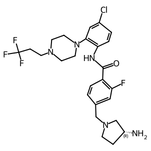 N[C@@H]1CCN(Cc2ccc(C(=O)Nc3ccc(Cl)cc3N3CCN(CCC(F)(F)F)CC3)c(F)c2)C1